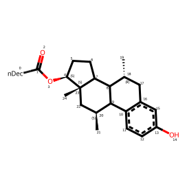 CCCCCCCCCCC(=O)O[C@H]1CCC2C3C(c4ccc(O)cc4C[C@H]3C)[C@@H](C)C[C@@]21C